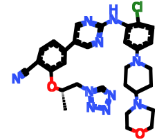 C[C@@H](Cn1cnnn1)Oc1cc(-c2cnc(Nc3cc(N4CCC(N5CCOCC5)CC4)ccc3Cl)nc2)ccc1C#N